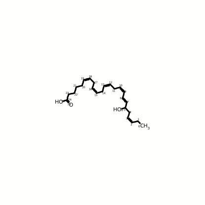 CC/C=C\CC(O)/C=C/C=C\C/C=C\C/C=C\C/C=C\CCCCC(=O)O